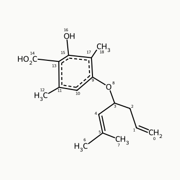 C=CCC(C=C(C)C)Oc1cc(C)c(C(=O)O)c(O)c1C